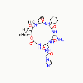 CCCCCC[C@H]1OC(=O)CNC(=O)[C@H](CNC(=O)Cn2ccnc2)NC(=O)[C@H](CN)NC(=O)[C@H](C2CCCCC2)NC(=O)[C@H](CC(C)C)N(C)C(=O)[C@@H]1C